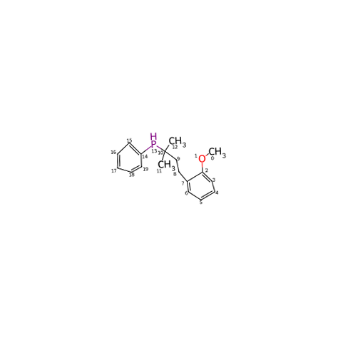 COc1ccccc1CCC(C)(C)Pc1ccccc1